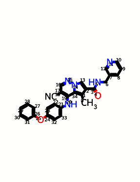 Cc1c(C(=O)NCc2cccnc2)cn2ncc(C#N)c(Nc3ccc(Oc4ccccc4)cc3)c12